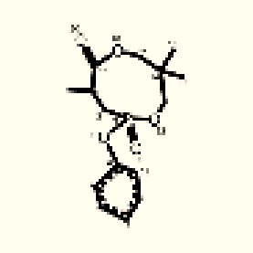 CC1CP(=O)(Oc2ccccc2)OCC(C)(C)COC1=O